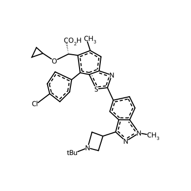 Cc1cc2nc(-c3ccc4c(c3)c(C3CN(C(C)(C)C)C3)nn4C)sc2c(-c2ccc(Cl)cc2)c1[C@H](OC1CC1)C(=O)O